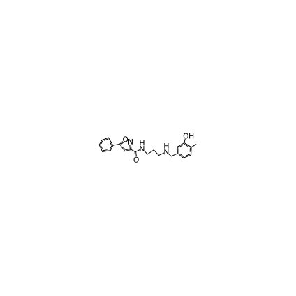 Cc1ccc(CNCCCNC(=O)c2cc(-c3ccccc3)on2)cc1O